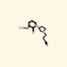 CNc1cccn([C@H]2CCN(CCC#N)C2)c1=O